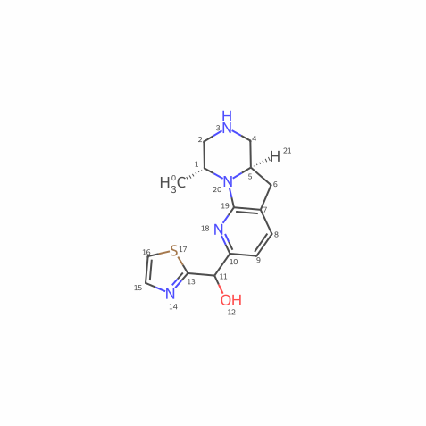 C[C@@H]1CNC[C@H]2Cc3ccc(C(O)c4nccs4)nc3N21